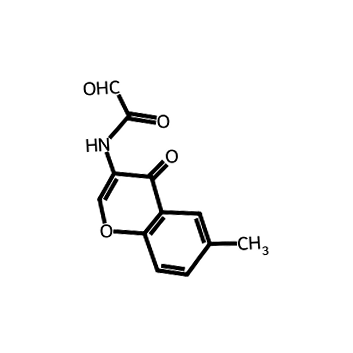 Cc1ccc2occ(NC(=O)C=O)c(=O)c2c1